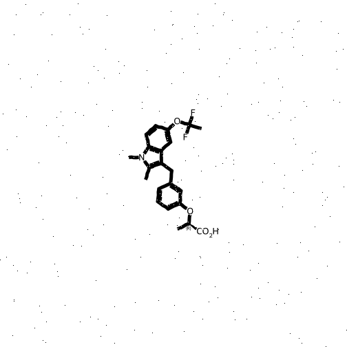 Cc1c(Cc2cccc(O[C@H](C)C(=O)O)c2)c2cc(OC(C)(F)F)ccc2n1C